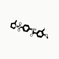 COc1ccc(C(=O)Nc2ccc(S(=O)(=O)N3CCCC3C)cc2)cc1I